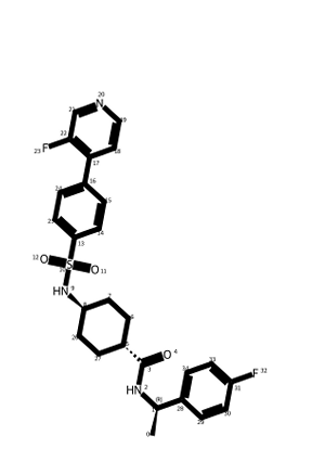 C[C@@H](NC(=O)[C@H]1CC[C@H](NS(=O)(=O)c2ccc(-c3ccncc3F)cc2)CC1)c1ccc(F)cc1